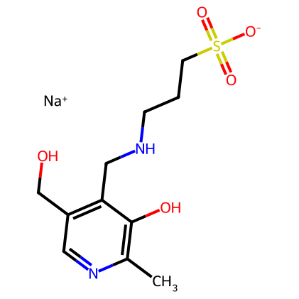 Cc1ncc(CO)c(CNCCCS(=O)(=O)[O-])c1O.[Na+]